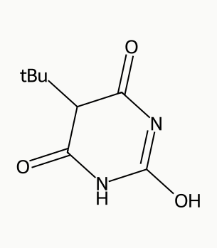 CC(C)(C)C1C(=O)N=C(O)NC1=O